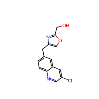 OCc1nc(Cc2ccc3ncc(Cl)cc3c2)co1